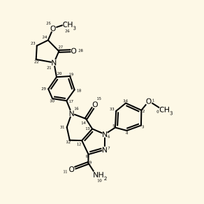 COc1ccc(-n2nc(C(N)=O)c3c2C(=O)N(c2ccc(N4CCC(OC)C4=O)cc2)CC3)cc1